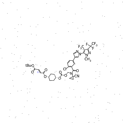 Cn1nc(C(F)(F)C(F)(F)F)c(C(F)(F)F)c1-n1cc(-c2ccc(Cl)c(C(=O)N(COC(=O)O[C@H]3CC[C@@H](OC(=O)/C=C/C(=O)OC(C)(C)C)CC3)C3(C#N)CC3)c2)cn1